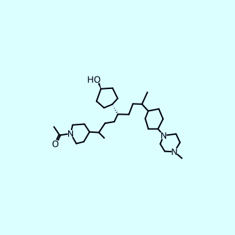 CC(=O)N1CCC(C(C)CCC(CCC(C)C2CCC(N3CCN(C)CC3)CC2)[C@H]2CC[C@H](O)CC2)CC1